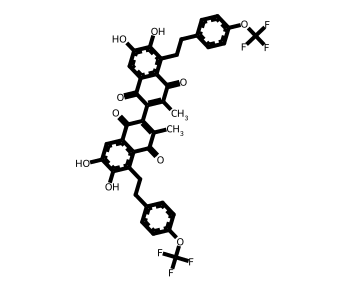 CC1=C(C2=C(C)C(=O)c3c(cc(O)c(O)c3CCc3ccc(OC(F)(F)F)cc3)C2=O)C(=O)c2cc(O)c(O)c(CCc3ccc(OC(F)(F)F)cc3)c2C1=O